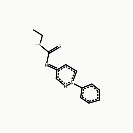 CCNC(=S)N=c1ccn(-c2ccccc2)nc1